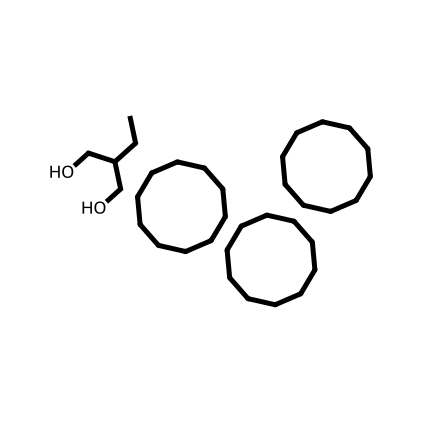 C1CCCCCCCCC1.C1CCCCCCCCC1.C1CCCCCCCCC1.CCC(CO)CO